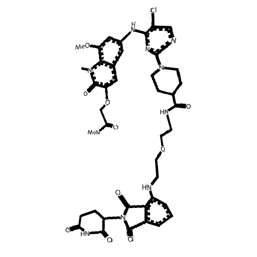 CNC(=O)COc1cc2cc(Nc3nc(N4CCC(C(=O)NCCOCCNc5cccc6c5C(=O)N(C5CCC(=O)NC5=O)C6=O)CC4)ncc3Cl)cc(OC)c2n(C)c1=O